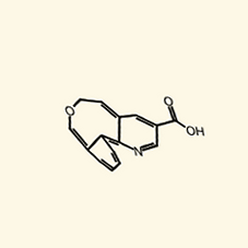 O=C(O)c1cn/c2c(c1)=CCOC=c1cccc\c1=2